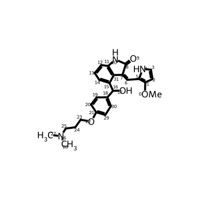 COc1cc[nH]c1/C=C1\C(=O)Nc2cccc(C(O)c3ccc(OCCCN(C)C)cc3)c21